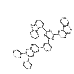 c1ccc(-c2cc3ccc(-c4cccc(-c5nc(-c6ccc7ccc8ccccc8c7c6)nc(-c6cccc7sc8ccccc8c67)n5)c4)cc3cc2-c2ccccc2)cc1